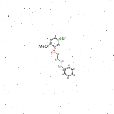 COc1ccc(Br)cc1OCCCCc1ccccc1